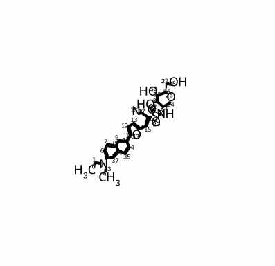 CCN(CC)c1ccc2cc(-c3ccc(/C=C(\C#N)S(=O)(=O)N[C@H]4CO[C@H](CO)[C@@H](O)[C@@H]4O)o3)ccc2c1